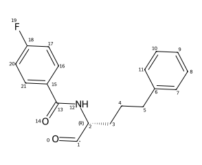 O=[C][C@@H](CCCc1ccccc1)NC(=O)c1ccc(F)cc1